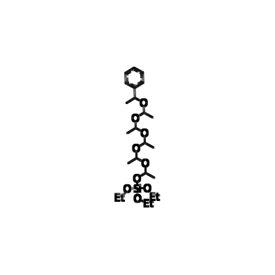 CCO[Si](OCC)(OCC)OC(C)OC(C)OC(C)OC(C)OC(C)OC(C)c1ccccc1